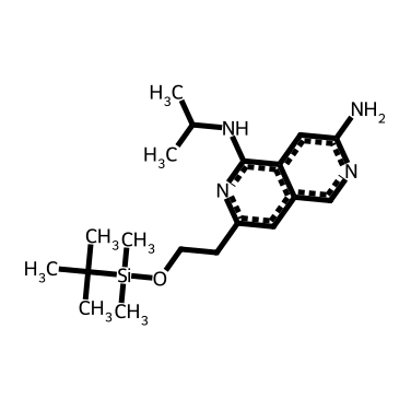 CC(C)Nc1nc(CCO[Si](C)(C)C(C)(C)C)cc2cnc(N)cc12